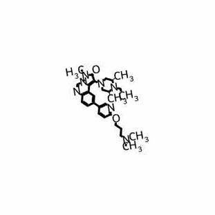 CCN1[C@H](C)CN(c2c(=O)n(C)n3cnc4ccc(-c5ccc(OCCCN(C)C)nc5)cc4c23)C[C@@H]1C